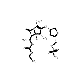 C[C@@H](NC(=O)OCC(F)(F)F)[C@H]1C(=O)N2C(C(=O)O)=C(S[C@@H]3CN[C@H](CNS(N)(=O)=O)C3)[C@H](C)[C@H]12